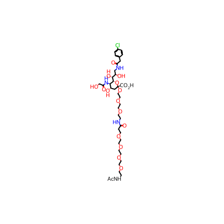 CC(=O)NCCOCCOCCOCCOCCC(=O)NCCOCCOCCO[C@]1(C(=O)O)C[C@H](O)[C@@H](NC(=O)CO)[C@H]([C@H](O)[C@H](O)CNC(=O)Cc2ccc(Cl)cc2)O1